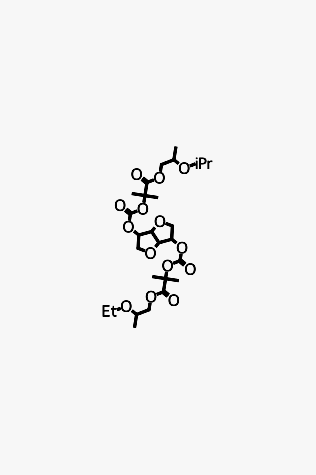 CCOC(C)COC(=O)C(C)(C)OC(=O)OC1COC2C(OC(=O)OC(C)(C)C(=O)OCC(C)OC(C)C)COC12